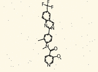 COc1cnccc1C(=O)N(C)c1ccc(-c2ncc3cc(C(F)(F)F)ccc3n2)cc1C